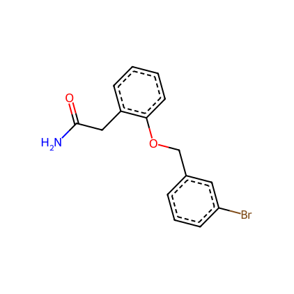 NC(=O)Cc1ccccc1OCc1cccc(Br)c1